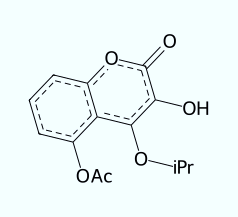 CC(=O)Oc1cccc2oc(=O)c(O)c(OC(C)C)c12